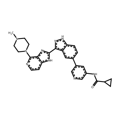 CN1CCN(c2nccc3[nH]c(-c4n[nH]c5ccc(-c6cncc(NC(=O)C7CC7)c6)cc45)nc23)CC1